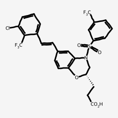 O=C(O)CC[C@H]1CN(S(=O)(=O)c2cccc(C(F)(F)F)c2)c2cc(/C=C/c3cccc(Cl)c3C(F)(F)F)ccc2O1